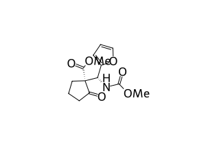 COC(=O)N[C@@H](c1ccco1)[C@]1(C(=O)OC)CCCC1=O